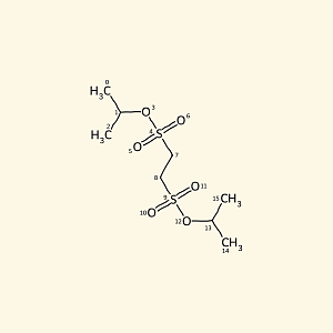 CC(C)OS(=O)(=O)CCS(=O)(=O)OC(C)C